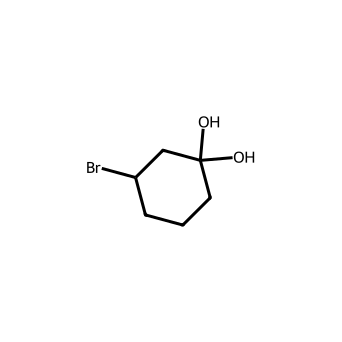 OC1(O)CCCC(Br)C1